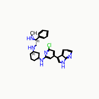 CN[C@@H](CN[C@@H]1CCC[C@@H](Nc2cc(-c3c[nH]c4ncccc34)cc(Cl)n2)C1)c1ccccc1